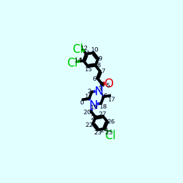 CC1CN(C(=O)C=Cc2ccc(Cl)c(Cl)c2)C(C)CN1Cc1ccc(Cl)cc1